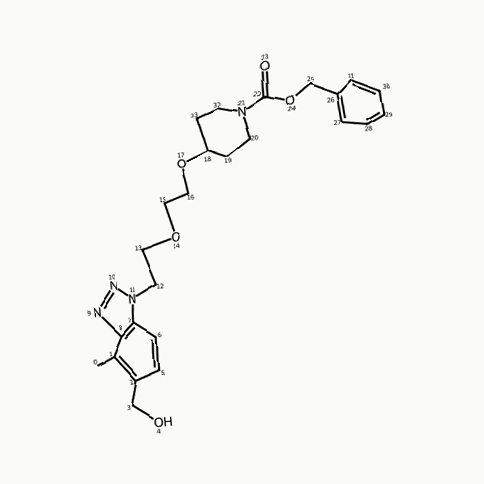 Cc1c(CO)ccc2c1nnn2CCOCCOC1CCN(C(=O)OCc2ccccc2)CC1